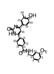 COc1cccc(CNC(=O)c2ccc(-c3cc(-c4ccc(O)c(C)c4)nc(=O)[nH]3)cc2)c1